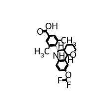 Cc1cc(C(=O)O)cc(C)c1[C@H]1Nc2ccc(OC(F)F)cc2[C@@H]2OCCC[C@H]12